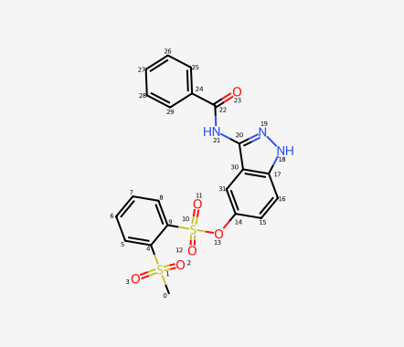 CS(=O)(=O)c1ccccc1S(=O)(=O)Oc1ccc2[nH]nc(NC(=O)c3ccccc3)c2c1